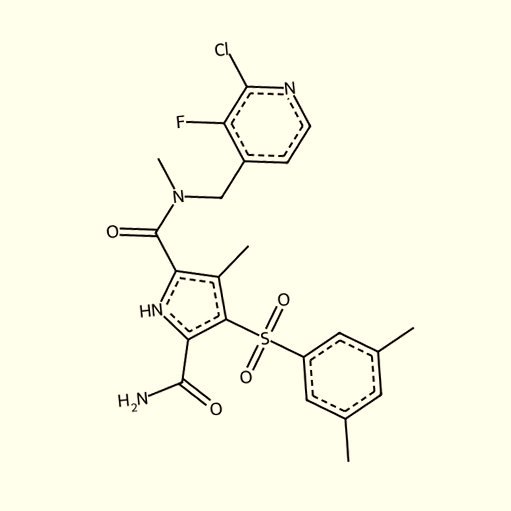 Cc1cc(C)cc(S(=O)(=O)c2c(C(N)=O)[nH]c(C(=O)N(C)Cc3ccnc(Cl)c3F)c2C)c1